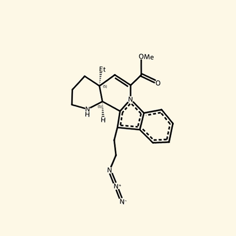 CC[C@]12C=C(C(=O)OC)n3c(c(CCN=[N+]=[N-])c4ccccc43)[C@H]1NCCC2